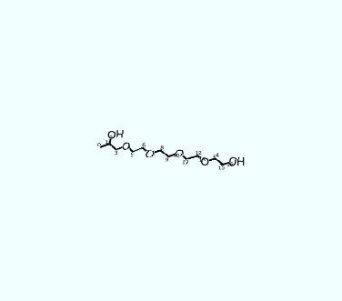 CC(O)COCCOCCOCCOCCO